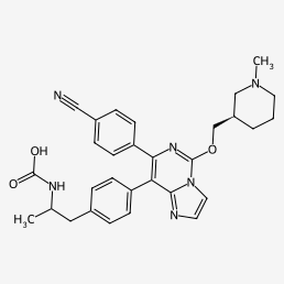 CC(Cc1ccc(-c2c(-c3ccc(C#N)cc3)nc(OC[C@@H]3CCCN(C)C3)n3ccnc23)cc1)NC(=O)O